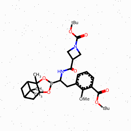 COc1c(CC(NC(=O)C2CN(C(=O)OC(C)(C)C)C2)B2OC3CC4CC(C4(C)C)C3(C)O2)cccc1C(=O)OC(C)(C)C